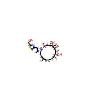 C/C1=C/C[C@@H](/C(C)=C/c2csc(CO)n2)NC(=O)C[C@H](O)C(C)(C)C(=O)[C@H](C)[C@@H](O)[C@@H](C)CCC1